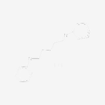 C(COCC=Nc1ccccc1)=Nc1ccccc1.Cl